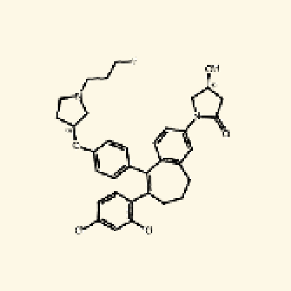 O=C1C[C@H](O)CN1c1ccc2c(c1)CCCC(c1ccc(Cl)cc1Cl)=C2c1ccc(O[C@H]2CCN(CCCF)C2)cc1